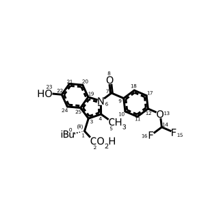 CCC(C)[C@@H](C(=O)O)c1c(C)n(C(=O)c2ccc(OC(F)F)cc2)c2ccc(O)cc12